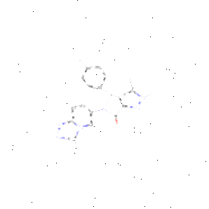 Cc1c2c(nn1C)C(=O)N(c1ccc3nnc(C)n3c1)C2c1ccc(Cl)cc1